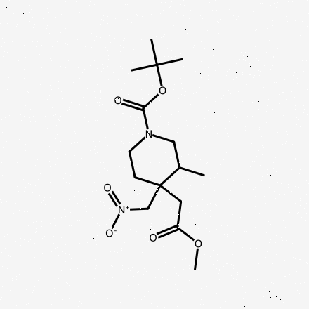 COC(=O)CC1(C[N+](=O)[O-])CCN(C(=O)OC(C)(C)C)CC1C